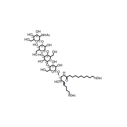 CCCCCCCCCCCCC/C=C/[C@@H](O)[C@H](CO[C@@H]1OC(CO)[C@@H](O[C@@H]2OC(CO)[C@H](O[C@@H]3OC(CO)[C@H](O)[C@H](O[C@@H]4OC(CO)[C@@H](O)[C@H](O)C4NC(C)=O)C3O)[C@H](O)C2O)[C@H](O)C1O)NC(=O)CCCCCCCCCCCCCCCCCCC